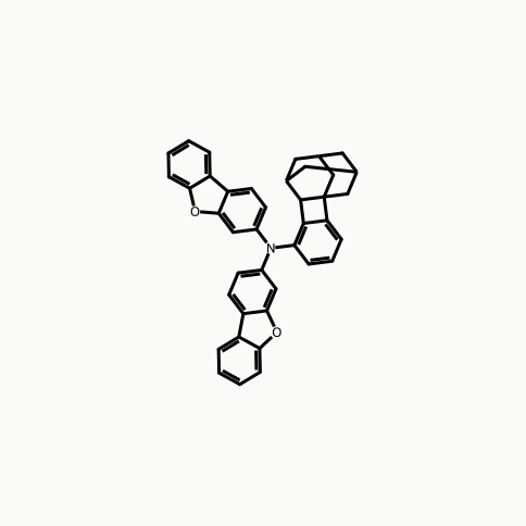 c1cc(N(c2ccc3c(c2)oc2ccccc23)c2ccc3c(c2)oc2ccccc23)c2c(c1)C13CC4CC(CC(C4)C21)C3